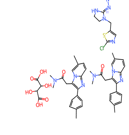 Cc1ccc(-c2nc3ccc(C)cn3c2CC(=O)N(C)C)cc1.Cc1ccc(-c2nc3ccc(C)cn3c2CC(=O)N(C)C)cc1.O=C(O)C(O)C(O)C(=O)O.O=[N+]([O-])/N=C1\NCCN1Cc1cnc(Cl)s1